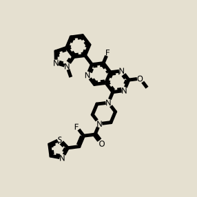 COc1nc(N2CCN(C(=O)/C(F)=C/c3nccs3)CC2)c2cnc(-c3cccc4cnn(C)c34)c(F)c2n1